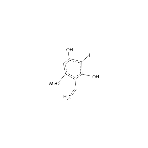 C=Cc1c(OC)cc(O)c(I)c1O